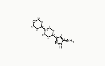 Nc1cc(C2CCN(C3CCOCC3)CC2)n[nH]1